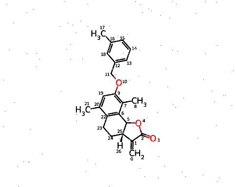 C=C1C(=O)OC2c3c(C)c(OCc4cccc(C)c4)cc(C)c3CC[C@@H]12